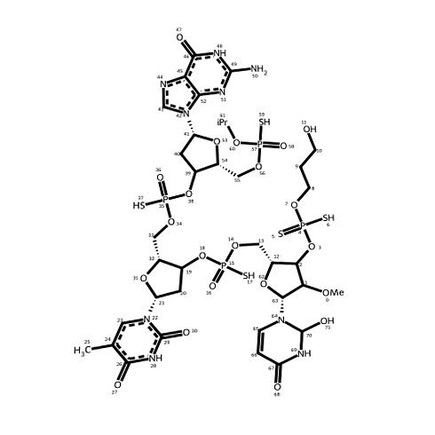 COC1C(OP(=S)(S)OCCCO)[C@@H](COP(=O)(S)OC2C[C@H](n3cc(C)c(=O)[nH]c3=O)O[C@@H]2COP(=O)(S)OC2C[C@H](n3cnc4c(=O)[nH]c(N)nc43)O[C@@H]2COP(=O)(S)OC(C)C)O[C@H]1N1C=CC(=O)NC1O